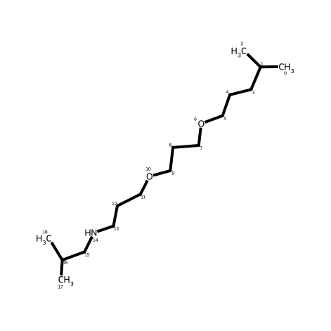 CC(C)CCCOCCCOCCCNCC(C)C